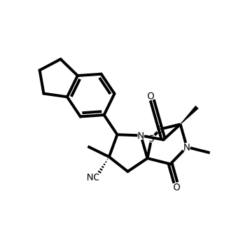 CN1C(=O)C23C[C@](C)(C#N)C(c4ccc5c(c4)CCC5)N2C(=O)[C@]1(C)SS3